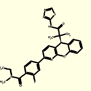 CCN(C)C(=O)c1ccc(-c2ccc3c(n2)Oc2ccccc2[C@@H]3C(C)(C)C(=O)Nc2nncs2)cc1F